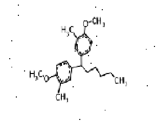 CCCCCC(c1ccc(OC)c(C)c1)c1ccc(OC)c(C)c1